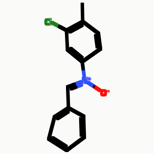 Cc1ccc([N+]([O-])=Cc2ccccc2)cc1Cl